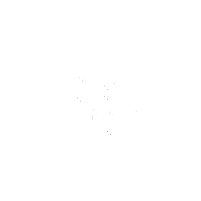 Cc1ccc(-n2nccn2)c(C(=O)N2C3CC(C3)C(C)C2CNc2cncc(C(F)(F)F)n2)n1